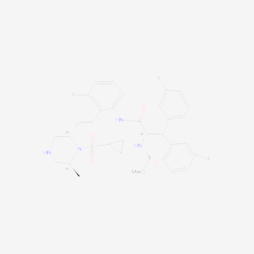 COC(=O)N[C@H](C(=O)Nc1cccc(F)c1CC[C@H]1CNC[C@H](C)N1S(=O)(=O)C1CC1)C(c1cccc(F)c1)c1cccc(F)c1